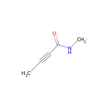 [CH2]NC(=O)C#CC